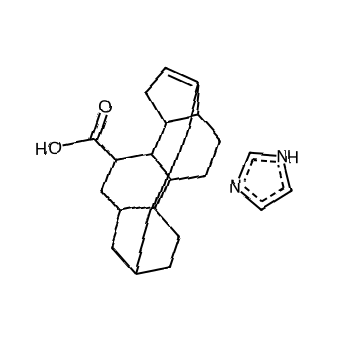 O=C(O)C1CC2CC3CCC2C2CCC4C3=CCC4C12.c1c[nH]cn1